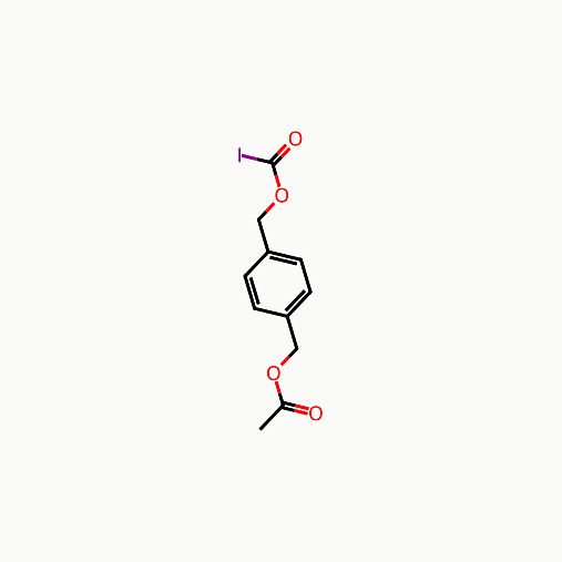 CC(=O)OCc1ccc(COC(=O)I)cc1